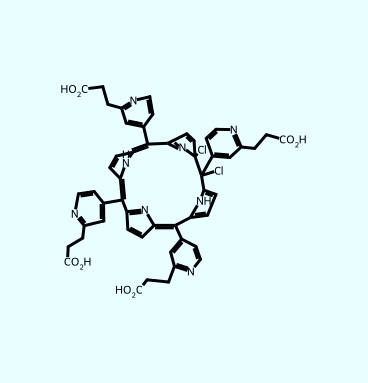 O=C(O)CCc1cc(C2=C3C=CC(=N3)C(c3ccnc(CCC(=O)O)c3)=c3ccc([nH]3)=C(c3ccnc(CCC(=O)O)c3)C3=NC(Cl)(C=C3)C(Cl)(c3ccnc(CCC(=O)O)c3)c3ccc2[nH]3)ccn1